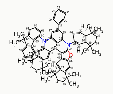 CC1(C)CCC(C)(C)c2cc3c(cc21)B1C2=C(C=C(c4ccccc4)CC2N(C2=CC4C(C=C2)C(C)(C)CCC4(C)C)c2oc4cc5c(cc4c21)C(C)(C)CCC5(C)C)N3c1cccc2c1-c1ccccc1C2(C)C